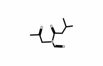 CC(=O)CN(C=O)C(=O)CC(C)C